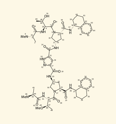 CN[C@@H](C)C(=O)N[C@H](C(=O)N1C[C@@H](NC(=O)c2cc(C(=O)N[C@H]3C[C@@H](C(=O)NC4CCCc5ccccc54)N(C(=O)[C@@H](NC(=O)[C@H](C)NC)[C@@H](C)OC)C3)n[nH]2)C[C@H]1C(=O)N[C@@H]1CCCc2ccccc21)[C@@H](C)O